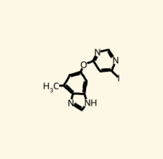 Cc1cc(Oc2cc(I)ncn2)cc2[nH]cnc12